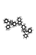 c1ccc(-c2nc3cc(-c4cc5ccccc5c(-c5ccc6c(c5)nc(-c5ccccc5)n6-c5ccccc5)n4)ccc3n2-c2ccccc2)cc1